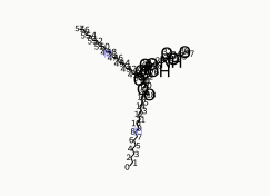 CCCCCCCC/C=C/CCCCCCCC(=O)OC[C@H](COP(=O)(O)OCCNC(=O)OCCOC)OC(=O)CCCCCCC/C=C/CCCCCCCC